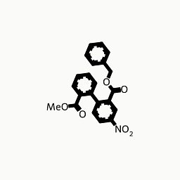 COC(=O)c1ccccc1-c1ccc([N+](=O)[O-])cc1C(=O)OCc1ccccc1